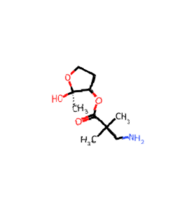 CC(C)(CN)C(=O)OC1CCO[C@]1(C)O